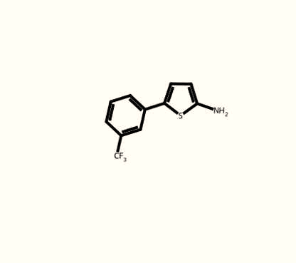 Nc1ccc(-c2cccc(C(F)(F)F)c2)s1